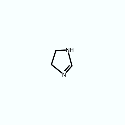 [C]1CN=CN1